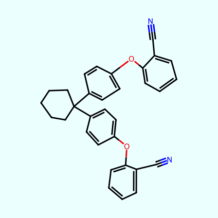 N#Cc1ccccc1Oc1ccc(C2(c3ccc(Oc4ccccc4C#N)cc3)CCCCC2)cc1